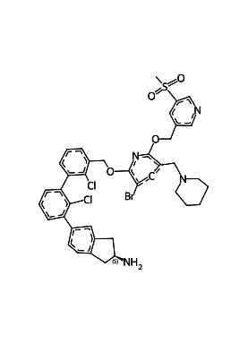 CS(=O)(=O)c1cncc(COc2nc(OCc3cccc(-c4cccc(-c5ccc6c(c5)C[C@@H](N)C6)c4Cl)c3Cl)c(Br)cc2CN2CCCCC2)c1